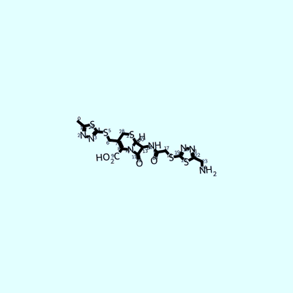 Cc1nnc(SCC2=C(C(=O)O)N3C(=O)C(NC(=O)CSc4nnc(CN)s4)[C@@H]3SC2)s1